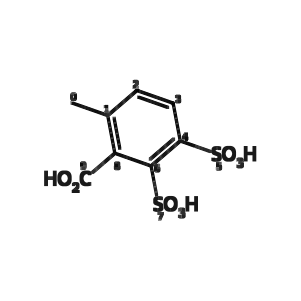 Cc1ccc(S(=O)(=O)O)c(S(=O)(=O)O)c1C(=O)O